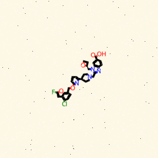 O=C(O)c1ccc2nc(CN3CCC(c4cccc(OCc5ccc(Cl)c6cc(F)oc56)n4)CC3)n(C[C@@H]3CCO3)c2c1